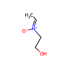 CC=[N+]([O-])CCO